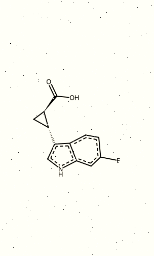 O=C(O)[C@@H]1C[C@H]1c1c[nH]c2cc(F)ccc12